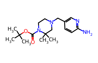 CC(C)(C)OC(=O)N1CCN(Cc2ccc(N)nc2)CC1(C)C